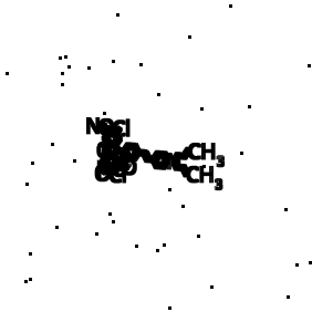 CCCCN(CCCC)c1ccc(/C=C/c2ccc(-c3c4cc(Cl)c(=O)cc-4oc4cc(OC#N)c(Cl)cc34)c(S(=O)(=O)O)c2)cc1